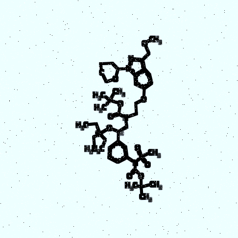 CC[Si](CC)(CC)O[C@@H](CN(CCOc1ccc2c(COC)nn(C3CCCCO3)c2c1)C(=O)OC(C)(C)C)c1cccc(N(C(=O)OC(C)(C)C)S(C)(=O)=O)c1